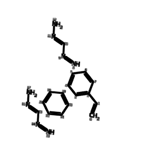 C=Cc1ccccc1.N=NC=NN.N=NC=NN.c1ccccc1